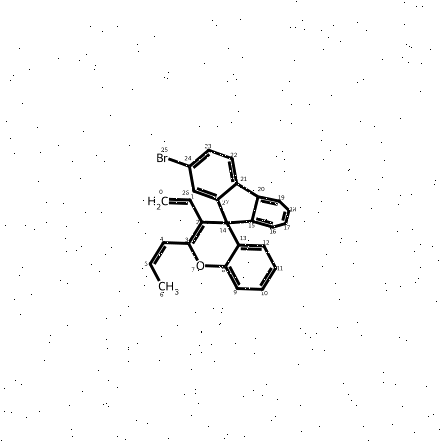 C=CC1=C(/C=C\C)Oc2ccccc2C12c1ccccc1-c1ccc(Br)cc12